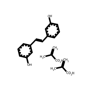 C=C(C)C(=O)O.C=C(C)C(=O)O.Oc1cccc(C=Cc2cccc(O)c2)c1